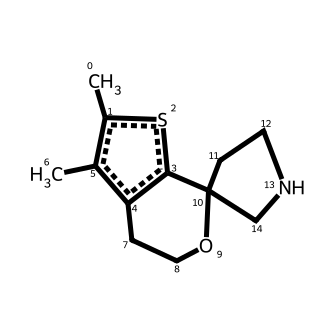 Cc1sc2c(c1C)CCOC21CCNC1